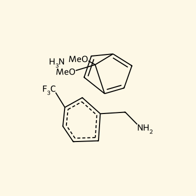 COC1(OC)C2=CC=C1C=C2.N.NCc1cccc(C(F)(F)F)c1